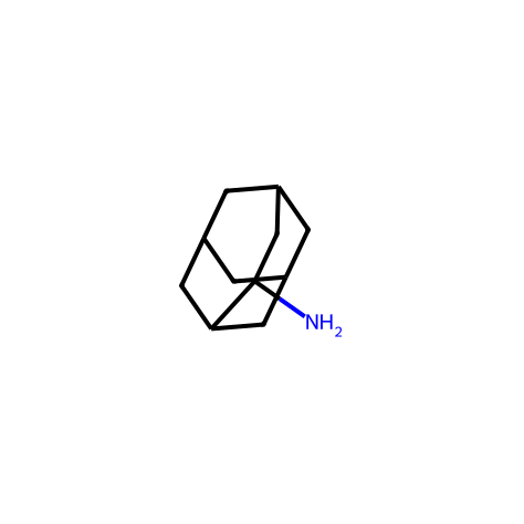 NC1CC2CC3CC(C2)CC1C3